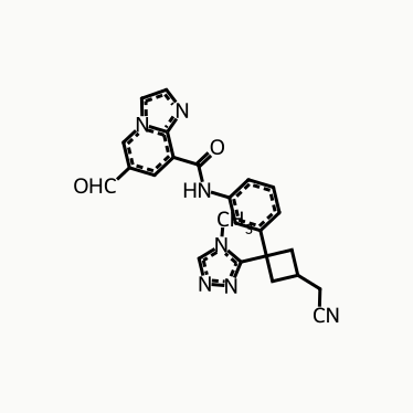 Cn1cnnc1C1(c2cccc(NC(=O)c3cc(C=O)cn4ccnc34)c2)CC(CC#N)C1